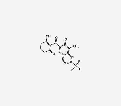 Cn1c(=O)c(C(=O)C2=C(O)CCCC2=O)cc2ccc(C(F)(F)F)nc21